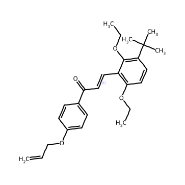 C=CCOc1ccc(C(=O)/C=C/c2c(OCC)ccc(C(C)(C)C)c2OCC)cc1